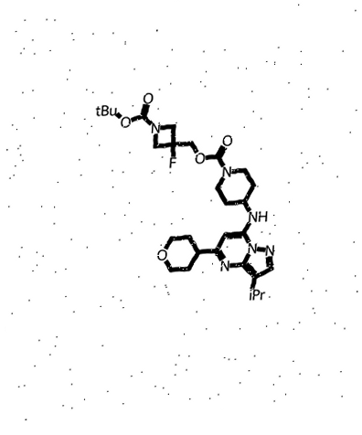 CC(C)c1cnn2c(NC3CCN(C(=O)OCC4(F)CN(C(=O)OC(C)(C)C)C4)CC3)cc(C3CCOCC3)nc12